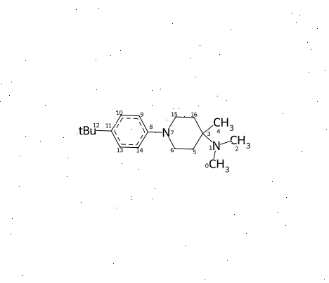 CN(C)C1(C)CCN(c2ccc(C(C)(C)C)cc2)CC1